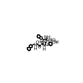 NC(=O)[C@H](NC(=O)[C@@H](Cc1ccc(O)c([N+](=O)[O-])c1)NC(=O)[C@H]1OC1C(=O)NCc1ccc2ccccc2c1)C1Cc2ccccc2C1